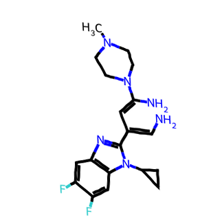 CN1CCN(/C(N)=C/C(=C\N)c2nc3cc(F)c(F)cc3n2C2CC2)CC1